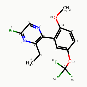 CCc1nc(Br)cnc1-c1cc(OC(F)(F)F)ccc1OC